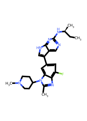 CC[C@H](C)Nc1ncc2c(-c3cc(F)c4nc(C)n(C5CCN(C)CC5)c4c3)c[nH]c2n1